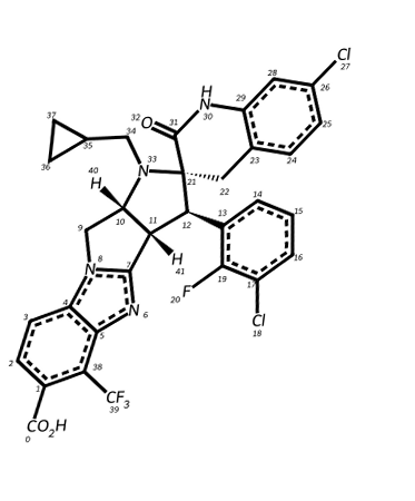 O=C(O)c1ccc2c(nc3n2C[C@H]2[C@@H]3[C@H](c3cccc(Cl)c3F)[C@@]3(Cc4ccc(Cl)cc4NC3=O)N2CC2CC2)c1C(F)(F)F